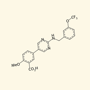 COc1ccc(-c2cnc(NCc3cccc(OC(F)(F)F)c3)nc2)cc1C(=O)O